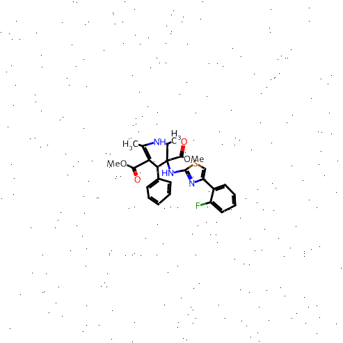 COC(=O)C1=C(C)NC(C)C(Nc2nc(-c3ccccc3F)cs2)(C(=O)OC)C1c1ccccc1